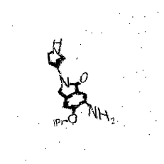 CC(C)Oc1cc2c(cc1N)C(=O)N([C@@H]1CCNC1)C2